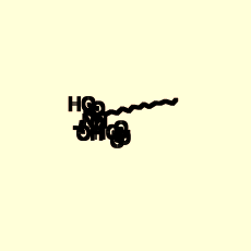 CCCCCCCCCCCCCCCC(=O)C(C)(NCC(C)O)C(=O)O.COS(=O)(=O)O